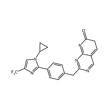 O=C1CC=c2cnc(Cc3ccc(-c4nc(C(F)(F)F)cn4C4CC4)cc3)nc2=N1